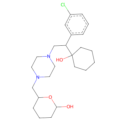 OC1CCCC(CN2CCN(CC(c3cccc(Cl)c3)C3(O)CCCCC3)CC2)O1